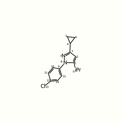 CC(C)c1cc(C2CC2)nn1-c1ccc(Cl)cc1